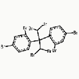 Brc1[c]c(Br)c(C(c2[c]cc(Br)[c]c2Br)(C(Br)Br)C(Br)Br)[c]c1